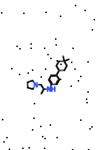 CC(CN1CCCC1)Nc1ccc(C2CCC(C)(C)CC2)cc1